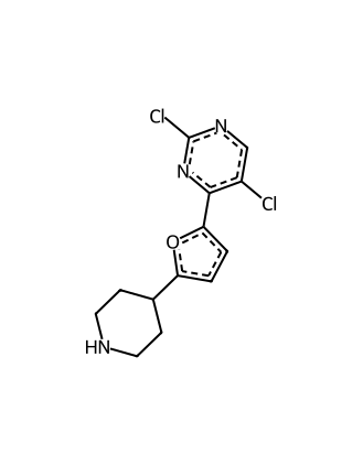 Clc1ncc(Cl)c(-c2ccc(C3CCNCC3)o2)n1